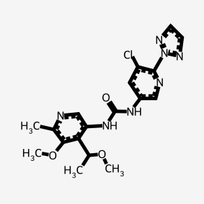 COc1c(C)ncc(NC(=O)Nc2cnc(-n3nccn3)c(Cl)c2)c1C(C)OC